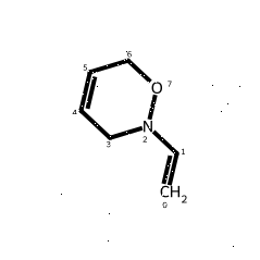 C=CN1CC=CCO1